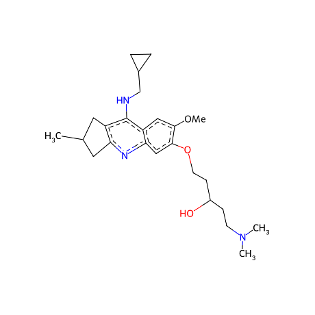 COc1cc2c(NCC3CC3)c3c(nc2cc1OCCC(O)CCN(C)C)CC(C)C3